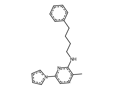 Cc1[c]cc(-n2cccc2)nc1NCCCCc1ccccc1